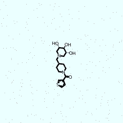 O=C(c1ccsc1)N1CCC(CN2C[C@@H](O)[C@H](O)[C@@H](O)C2)CC1